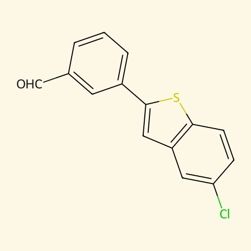 O=Cc1cccc(-c2cc3cc(Cl)ccc3s2)c1